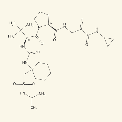 CC(C)NS(=O)(=O)CC1(NC(=O)N[C@H](C(=O)N2CCC[C@H]2C(=O)NCC(=O)C(=O)NC2CC2)C(C)(C)C)CCCCC1